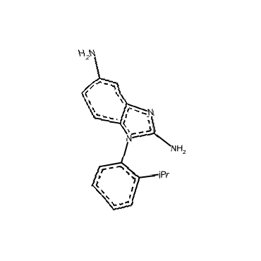 CC(C)c1ccccc1-n1c(N)nc2cc(N)ccc21